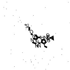 CC[C@@H]1C[C@H](NS(=O)(=O)C2CC2)C[C@@H]1c1nnc2cnc3c(c(I)cn3COCC[Si](C)(C)C)n12